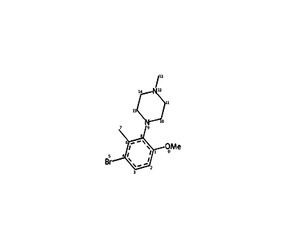 COc1ccc(Br)c(C)c1N1CCN(C)CC1